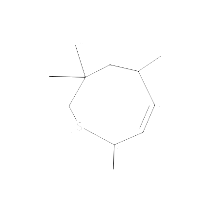 CC1C=CC(C)SCC(C)(C)C1